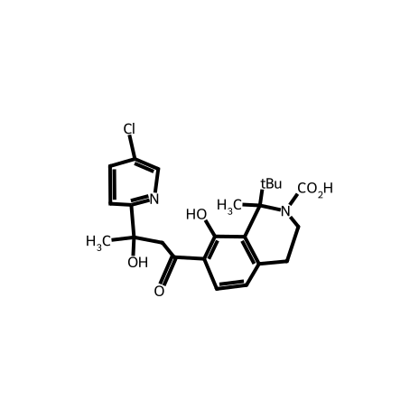 CC(O)(CC(=O)c1ccc2c(c1O)C(C)(C(C)(C)C)N(C(=O)O)CC2)c1ccc(Cl)cn1